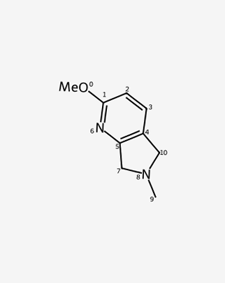 COc1ccc2c(n1)CN(C)C2